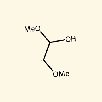 CO[CH]C(O)OC